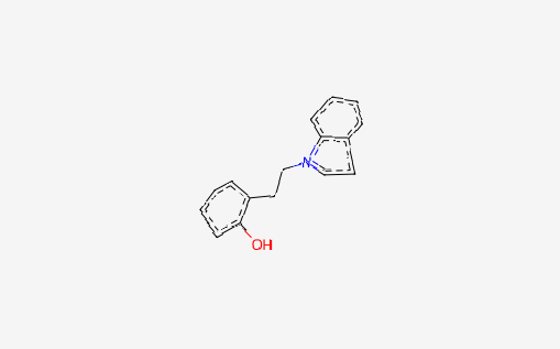 Oc1ccccc1CCn1ccc2ccccc21